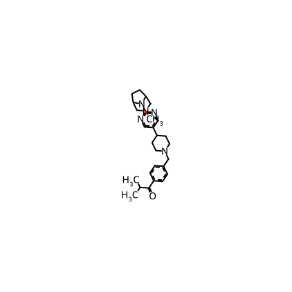 CC(C)C(=O)c1ccc(CN2CCC(c3cnc(N4C5CCC4CN(C)C5)nc3)CC2)cc1